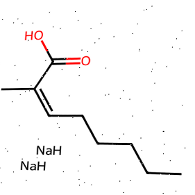 CCCCC/C=C(/C)C(=O)O.[NaH].[NaH]